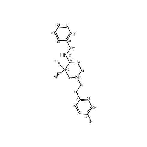 Cc1ccc(CCN2CCC(NCc3ccccc3)C(F)(F)C2)cc1